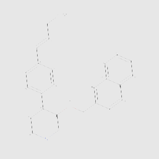 COCC=Cc1ccc(C2CCNCC2OCc2ccc3ccccc3c2)cc1